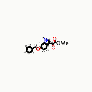 COC(=O)C(=O)c1cn(C)c2cc(OCc3ccccc3)ccc12